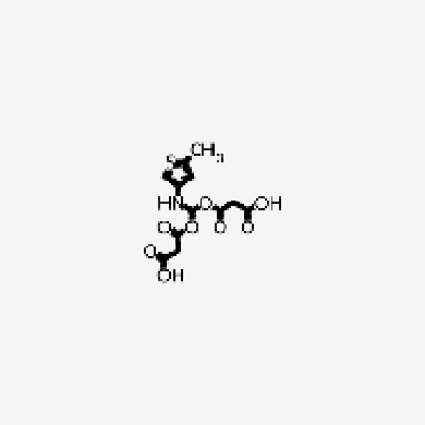 Cc1cc(NC(OC(=O)CC(=O)O)OC(=O)CC(=O)O)cs1